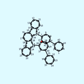 c1ccc(-c2ccc(-n3c4ccccc4c4ccc5c6ccccc6n(-c6cccc(-c7ccccc7)c6)c5c43)cc2)cc1